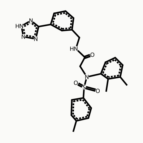 Cc1ccc(S(=O)(=O)N(CC(=O)NCc2cccc(-c3nn[nH]n3)c2)c2cccc(C)c2C)cc1